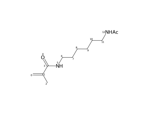 C=C(C)C(=O)NCCCCCCNC(C)=O